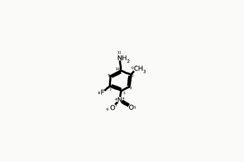 Cc1cc([N+](=O)[O-])c(F)cc1N